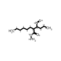 CCCCCCC(C(=O)OP)C(CCC)N=S